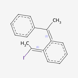 C/C(c1ccccc1)=c1\cccc\c1=C(\C)I